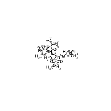 COC(=O)[C@]1(C)C(=O)N(COCC[Si](C)(C)C)c2cc(NC(=O)[C@@H](NC(=O)c3ccnn3C(C)C)C(C3CC3)C3CC3)ccc21